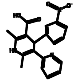 CC1=C(C(=O)O)C(c2cccc([N+](=O)[O-])c2)C(c2ccccn2)=C(C)N1